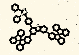 c1ccc(-c2nnc(-c3ccc(-c4cc(-c5ccc6c(c5)C5(c7ccccc7-c7ccccc75)c5ccccc5-6)cc5c4oc4ccc(-c6ccc7c(c6)C6(c8ccccc8-c8ccccc86)c6ccccc6-7)cc45)cc3)n2-c2ccccc2)cc1